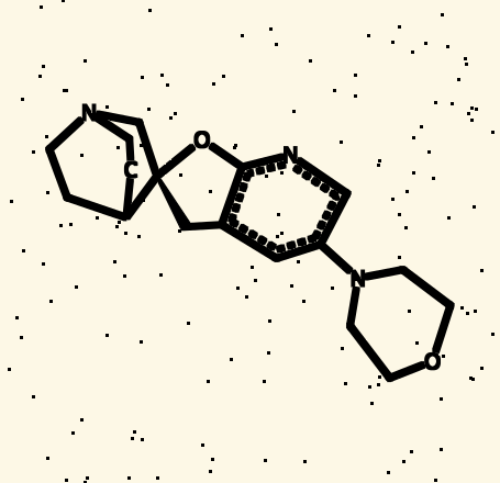 c1nc2c(cc1N1CCOCC1)C[C@@]1(CN3CCC1CC3)O2